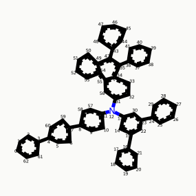 c1ccc(-c2ccc(-c3ccc(N(c4cc(-c5ccccc5)cc(-c5ccccc5)c4)c4ccc5c(-c6ccccc6)c(-c6ccccc6)c6ccccc6c5c4)cc3)cc2)cc1